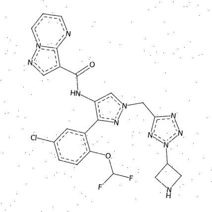 O=C(Nc1cn(Cc2nnn(C3CNC3)n2)nc1-c1cc(Cl)ccc1OC(F)F)c1cnn2cccnc12